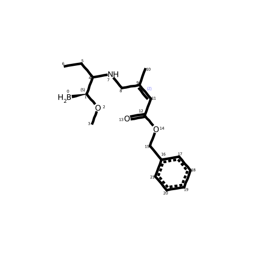 B[C@H](OC)C(CC)NC/C(C)=C\C(=O)OCc1ccccc1